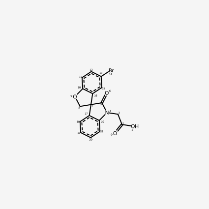 O=C(O)CN1C(=O)C2(COc3ccc(Br)cc32)c2ccccc21